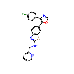 Fc1ccc(-c2ncoc2-c2ccc3nc(NCc4ccccn4)sc3c2)cc1